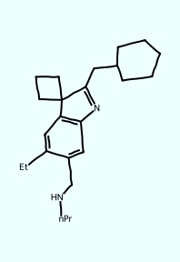 CCCNCc1cc2c(cc1CC)C1(CCC1)C(CC1CCCCC1)=N2